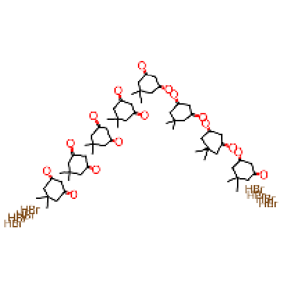 Br.Br.Br.Br.Br.Br.Br.Br.CC1(C)CC(=O)CC(=O)C1.CC1(C)CC(=O)CC(=O)C1.CC1(C)CC(=O)CC(=O)C1.CC1(C)CC(=O)CC(=O)C1.CC1(C)CC(=O)CC(=O)C1.CC1(C)CC(=O)CC(=O)C1.CC1(C)CC(=O)CC(=O)C1.CC1(C)CC(=O)CC(=O)C1